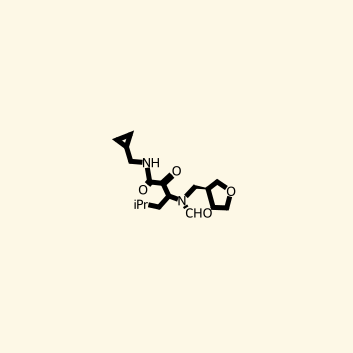 CC(C)CC(C(=O)C(=O)NCC1CC1)N(C=O)C[C@@H]1CCOC1